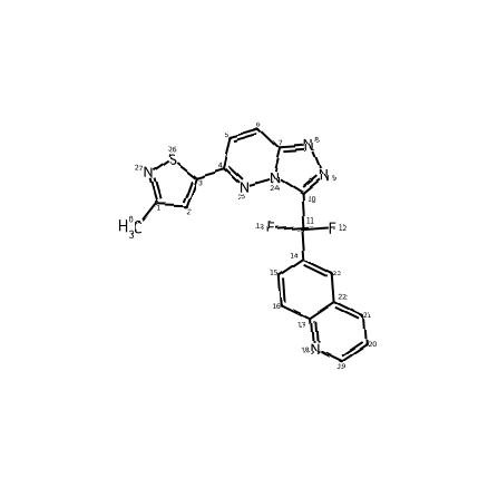 Cc1cc(-c2ccc3nnc(C(F)(F)c4ccc5ncccc5c4)n3n2)sn1